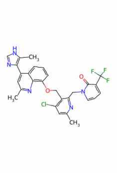 Cc1cc(Cl)c(COc2cccc3c(-c4nc[nH]c4C)cc(C)nc23)c(Cn2cccc(C(F)(F)F)c2=O)n1